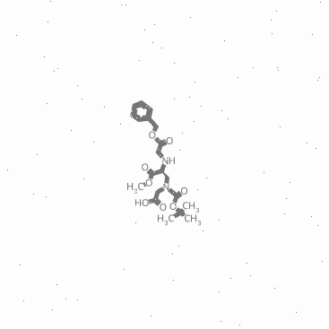 COC(=O)[C@H](CN(CC(=O)O)C(=O)OC(C)(C)C)NCC(=O)OCc1ccccc1